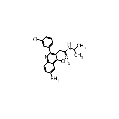 Bc1ccc2nc(-c3cccc(Cl)c3)c(CC(=O)NC(C)C)c(C)c2c1